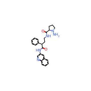 NN1CCCC1C(=O)NCCC(C(=O)Nc1cnc2ccccc2c1)c1ccccc1